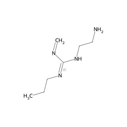 C=N/C(=N\CCC)NCCN